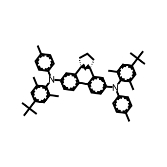 Cc1ccc(N(c2ccc3c(c2)[C@]24CCC[C@]2(CCC4)c2cc(N(c4ccc(C)cc4)c4c(C)cc(C(C)(C)C)cc4C)ccc2-3)c2c(C)cc(C(C)(C)C)cc2C)cc1